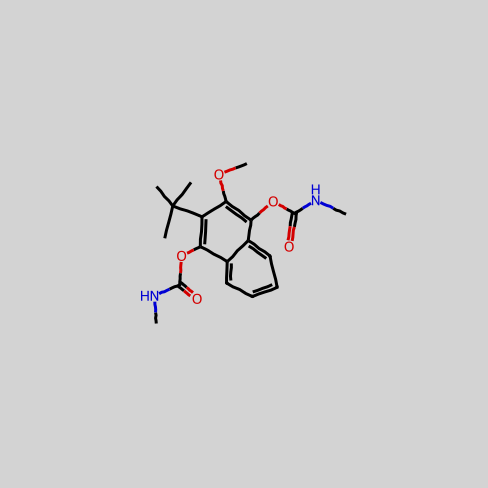 CNC(=O)Oc1c(OC)c(C(C)(C)C)c(OC(=O)NC)c2ccccc12